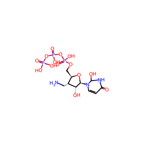 NC[C@H]1[C@@H](O)[C@H](N2C=CC(=O)NC2O)O[C@@H]1COP(=O)(O)OP(=O)(O)OP(=O)(O)O